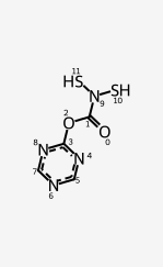 O=C(Oc1ncncn1)N(S)S